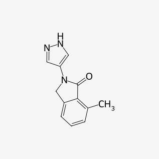 Cc1cccc2c1C(=O)N(c1cn[nH]c1)C2